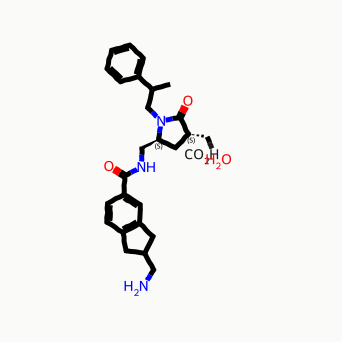 CC(CN1C(=O)[C@H](CC(=O)O)C[C@H]1CNC(=O)c1ccc2c(c1)CC(CN)C2)c1ccccc1.O